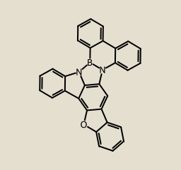 c1ccc2c(c1)B1N(c3ccccc3-2)c2cc3c4ccccc4oc3c3c4ccccc4n1c23